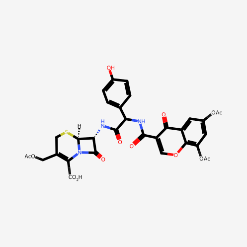 CC(=O)OCC1=C(C(=O)O)N2C(=O)[C@@H](NC(=O)C(NC(=O)c3coc4c(OC(C)=O)cc(OC(C)=O)cc4c3=O)c3ccc(O)cc3)[C@@H]2SC1